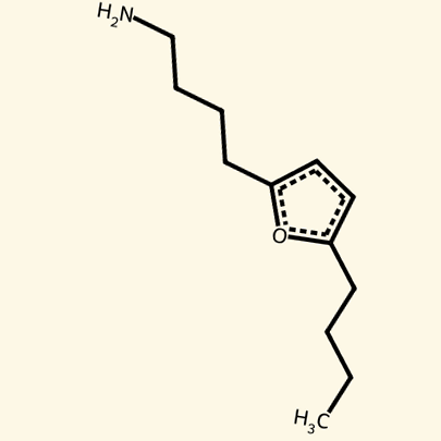 CCCCc1ccc(CCCCN)o1